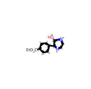 CCOC(=O)c1ccc(-c2nccnc2O)cc1